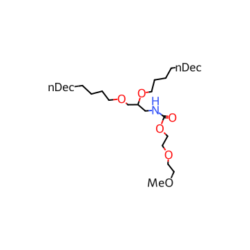 CCCCCCCCCCCCCCOCC(CNC(=O)OCCOCCOC)OCCCCCCCCCCCCCC